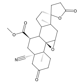 COC(=O)[C@@H]1C[C@]2(C#N)CC(=O)CC[C@]2(C)[C@@]23OC2C[C@@]2(C)C(CC[C@@]24CCC(=O)O4)C13